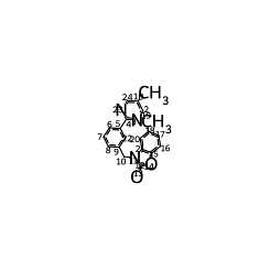 Cc1cnc(-c2cccc(Cn3c(=O)oc4ccc(C)cc43)c2)nc1